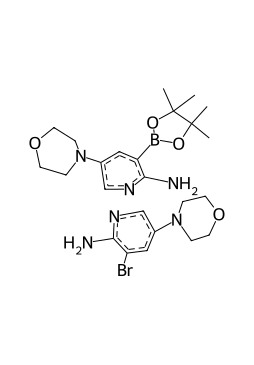 CC1(C)OB(c2cc(N3CCOCC3)cnc2N)OC1(C)C.Nc1ncc(N2CCOCC2)cc1Br